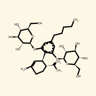 C=C(C)[C@@H]1CCC(C)=C[C@H]1c1c(O[C@@H]2O[C@H](CO)[C@@H](O)[C@H](O)[C@H]2O)cc(CCCCC)cc1O[C@@H]1O[C@H](CO)[C@@H](O)[C@H](O)[C@H]1O